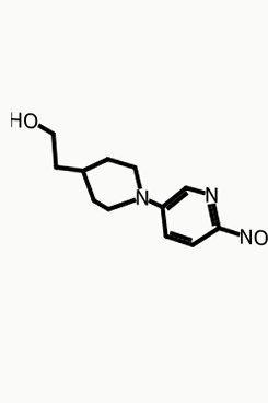 O=[N+]([O-])c1ccc(N2CCC(CCO)CC2)cn1